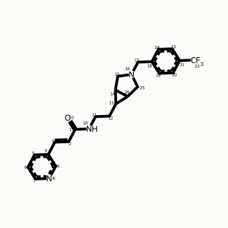 O=C(/C=C/c1cccnc1)NCCC1C2CN(Cc3ccc(C(F)(F)F)cc3)CC12